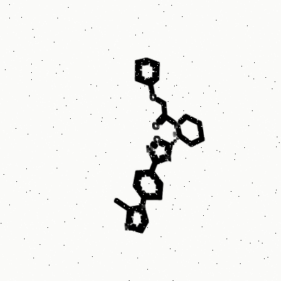 Cc1nccn1-c1ccc(-c2noc([C@H]3CCCCN3C(=O)COc3ccccc3)n2)cc1